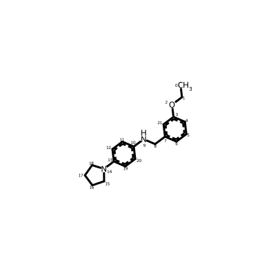 CCOc1cccc(CNc2ccc(N3CCCC3)cc2)c1